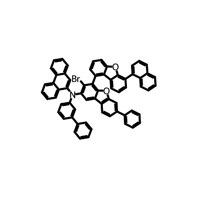 Brc1c(N(c2cccc(-c3ccccc3)c2)c2cc3ccccc3c3ccccc23)cc2c(oc3cc(-c4ccccc4)ccc32)c1-c1cccc2oc3c(-c4cccc5ccccc45)cccc3c12